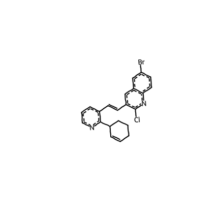 Clc1nc2ccc(Br)cc2cc1C=Cc1cccnc1C1C=CCCC1